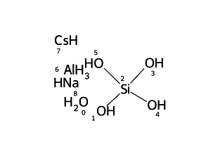 O.O[Si](O)(O)O.[AlH3].[CsH].[NaH]